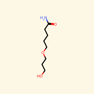 NC(=O)CCCCOCCCO